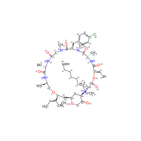 C/C=C(\C)[C@H]1OC[C@@H](C)NC(=O)[C@H](C(C)CC)NC(=O)CN(C)C(=O)[C@@H](Cc2ccc(Cl)cc2)N(C)C(=O)[C@H](C)NC(=O)[C@@H](CC(C)C)OC(=O)/C(C)=C/[C@@]2(N(C)CCCCCCNC)C[C@H](OCC2=O)[C@@H]1C